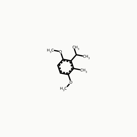 COc1ccc(OC)c(C(C)C)c1C